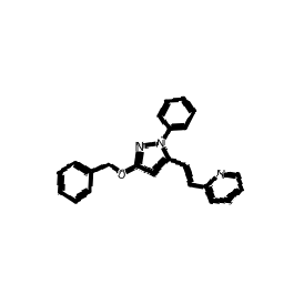 C(=Cc1cc(OCc2ccccc2)nn1-c1ccccc1)c1ccccn1